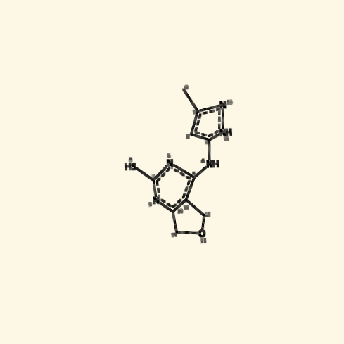 Cc1cc(Nc2nc(S)nc3c2COC3)[nH]n1